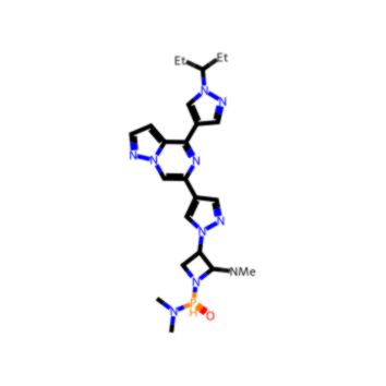 CCC(CC)n1cc(-c2nc(-c3cnn(C4CN([PH](=O)N(C)C)C4NC)c3)cn3nccc23)cn1